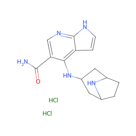 Cl.Cl.NC(=O)c1cnc2[nH]ccc2c1NC1CC2CCC(C1)N2